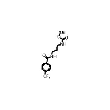 CC(C)(C)OC(=O)NCCCNC(=O)c1ccc(C(F)(F)F)cc1